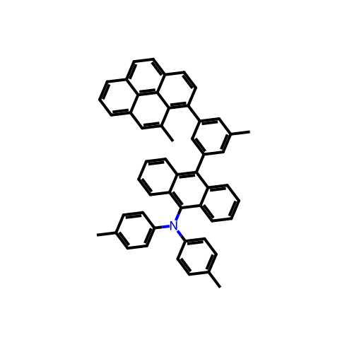 Cc1ccc(N(c2ccc(C)cc2)c2c3ccccc3c(-c3cc(C)cc(-c4ccc5ccc6cccc7cc(C)c4c5c67)c3)c3ccccc23)cc1